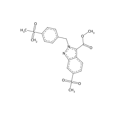 C=S(C)(=O)c1ccc(Cn2nc3cc(S(C)(=O)=O)ccc3c2C(=O)OC)cc1